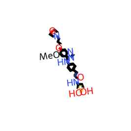 COc1cc2c(Nc3ccc(/C=C/C(=O)NC4CCS(O)(O)C4)cc3)ncnc2cc1OCCCN1CCOCC1